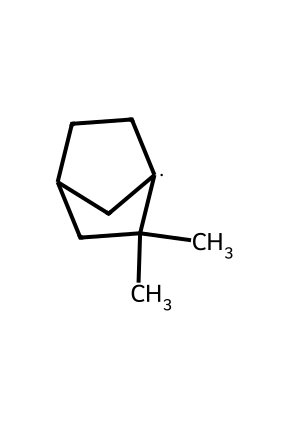 CC1(C)CC2CC[C]1C2